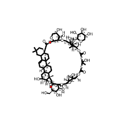 C[C@@H]1O[C@H]2O[C@H]3[C@@H](OC[C@H](O)[C@@H]3O)OC(=O)[C@]34CCC(C)(C)CC3C3=CC[C@H]5[C@@]6(C)C[C@H](O)[C@@H](O[C@@H]7O[C@H](CO)[C@@H](O)[C@H](O)[C@H]7O[C@@H]7OC[C@H](OC(=O)CC(C)(O)CC(=O)O[C@H]1[C@@H](O[C@@H]1OC[C@@H](O)[C@H](O)[C@H]1O)[C@H]2O)[C@H](O)[C@H]7O)[C@@](C)(CO)C6CC[C@@]5(C)C3(C)CC4